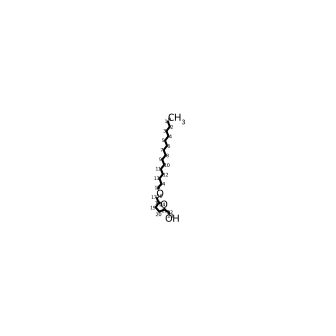 CCCCCCCCCCCCCCCCOCC1CCC(CO)O1